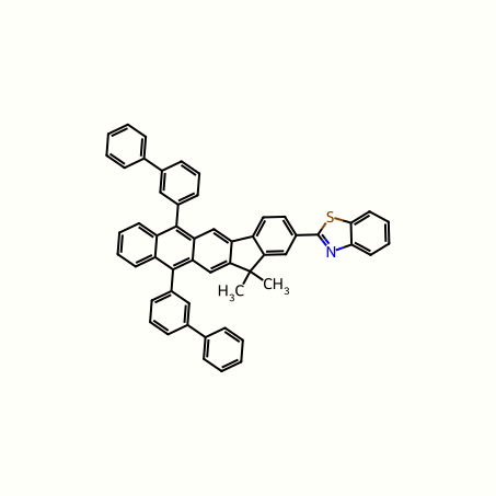 CC1(C)c2cc(-c3nc4ccccc4s3)ccc2-c2cc3c(-c4cccc(-c5ccccc5)c4)c4ccccc4c(-c4cccc(-c5ccccc5)c4)c3cc21